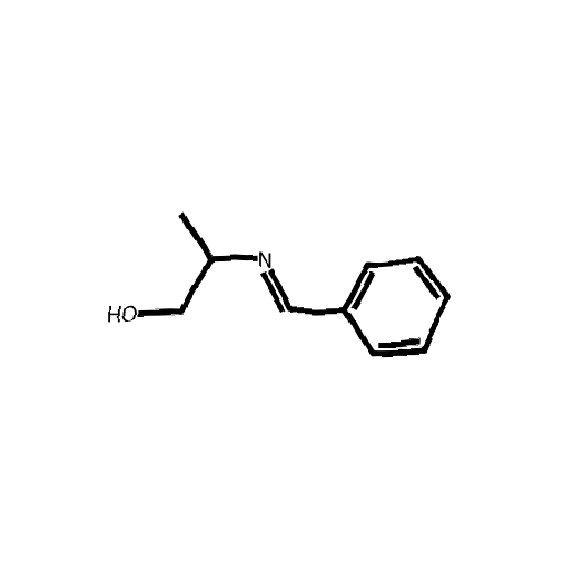 CC(CO)/N=C/c1ccccc1